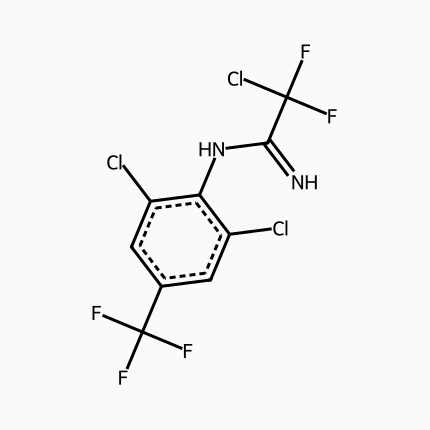 N=C(Nc1c(Cl)cc(C(F)(F)F)cc1Cl)C(F)(F)Cl